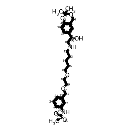 CC1(C)OCc2cc([C@@H](O)CNCCCCCOCCOCc3cccc(NS(C)(=O)=O)c3)ccc2O1